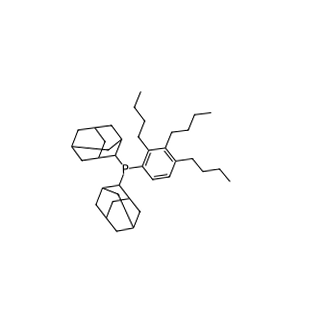 CCCCc1ccc(P(C2C3CC4CC(C3)CC2C4)C2C3CC4CC(C3)CC2C4)c(CCCC)c1CCCC